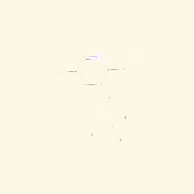 CC(C)[Si](OCc1cc(Br)cnc1CO)(C(C)C)C(C)C